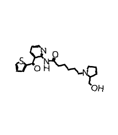 O=C(CCCCCN1CCCC1CO)Nc1ncccc1C(=O)c1cccs1